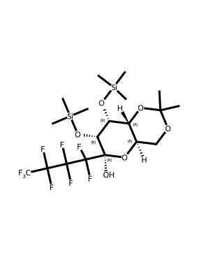 CC1(C)OC[C@H]2O[C@@](O)(C(F)(F)C(F)(F)C(F)(F)C(F)(F)F)[C@H](O[Si](C)(C)C)[C@H](O[Si](C)(C)C)[C@@H]2O1